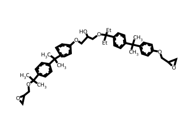 CCC(CC)(OCC(O)COc1ccc(C(C)(C)c2ccc(C(C)(C)OCC3CO3)cc2)cc1)c1ccc(C(C)(C)c2ccc(OCC3CO3)cc2)cc1